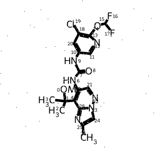 COC(C)(C)c1c(NC(=O)Nc2cnc(OC(F)F)c(Cl)c2)cnn2cc(C)nc12